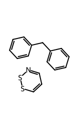 C1=CSSN=C1.c1ccc(Cc2ccccc2)cc1